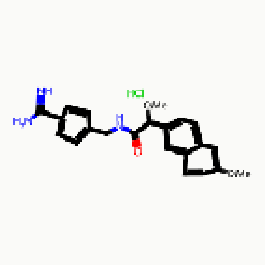 COc1ccc2cc(C(OC)C(=O)NCc3ccc(C(=N)N)cc3)ccc2c1.Cl